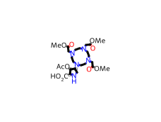 COC(=O)CN1CCN(CC(=O)OC)CCN([C@@H]2CN[C@H](C(=O)O)[C@H]2OC(C)=O)CCN(CC(=O)OC)CC1